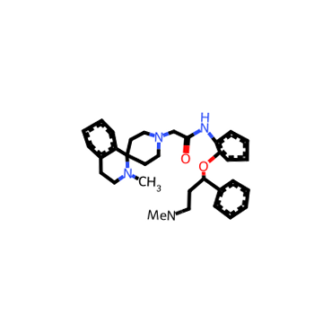 CNCCC(Oc1ccccc1NC(=O)CN1CCC2(CC1)c1ccccc1CCN2C)c1ccccc1